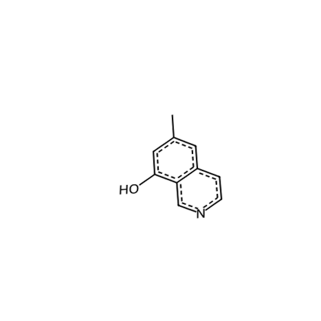 Cc1cc(O)c2cnccc2c1